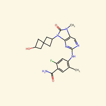 Cc1cc(C(N)=O)c(F)cc1Nc1ncc2c(n1)n(C1CC3(CC(O)C3)C1)c(=O)n2C